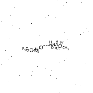 CCS/C(=N\C(=O)NCCCCc1ccc(-c2ncn(-c3ccc(OC(F)(F)F)cc3)n2)cc1)Nc1ccc(C)cc1C(C)C